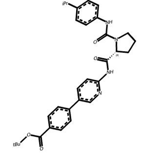 CC(C)c1ccc(NC(=O)N2CCC[C@@H]2C(=O)Nc2ccc(-c3ccc(C(=O)OC(C)(C)C)cc3)cn2)cc1